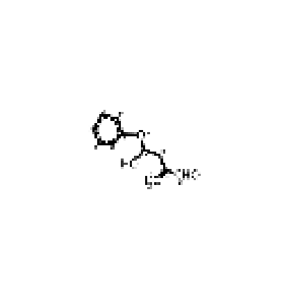 C=C(C=O)CC(O)Oc1ccccc1